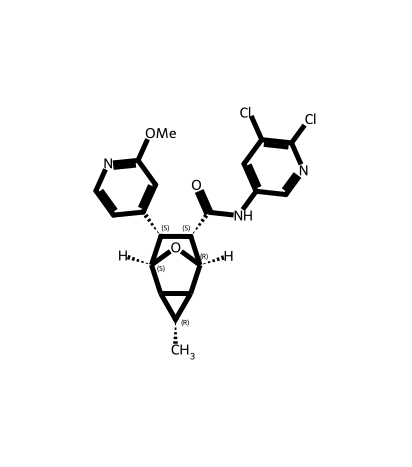 COc1cc([C@@H]2[C@H](C(=O)Nc3cnc(Cl)c(Cl)c3)[C@@H]3O[C@H]2C2C3[C@@H]2C)ccn1